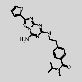 CC(C)N(C)C(=O)c1ccc(CCNc2nc(N)n3nc(-c4ccco4)nc3n2)cc1